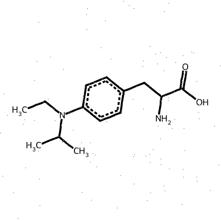 CCN(c1ccc(CC(N)C(=O)O)cc1)C(C)C